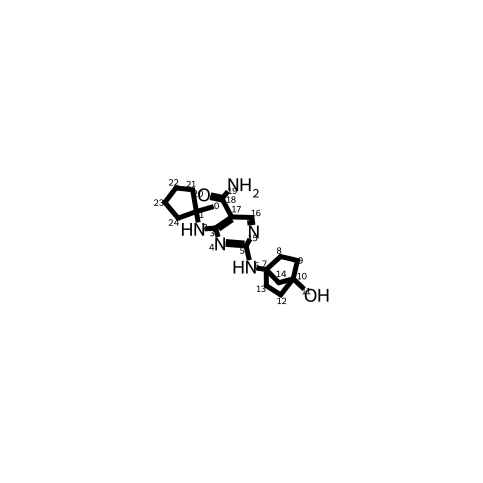 CC1(Nc2nc(NC34CCC(O)(CC3)C4)ncc2C(N)=O)CCCC1